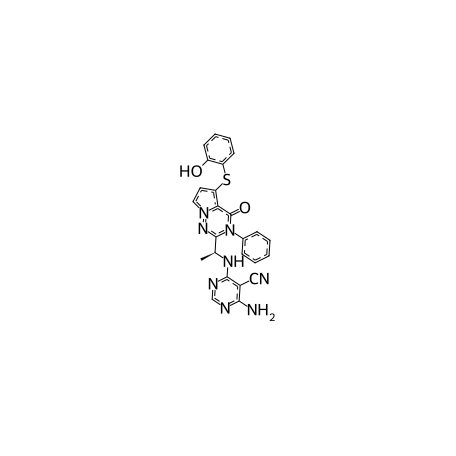 C[C@H](Nc1ncnc(N)c1C#N)c1nn2ccc(Sc3ccccc3O)c2c(=O)n1-c1ccccc1